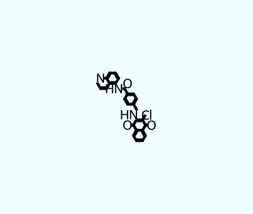 O=C(Nc1cccc2ncccc12)c1ccc(CNC2=C(Cl)C(=O)c3ccccc3C2=O)cc1